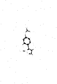 CCn1nc(C(=O)O)c(Cl)c1-c1ccc(NC(C)C(F)(F)F)cc1C